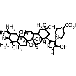 CC1(C)CC2C3=CCC4[C@@]5(C)Cc6c(n[nH]c6N)C(C)(C)C5CC[C@@]4(C)[C@]3(C)CC[C@@H]2[C@H](c2n[nH]c(O)c2N2CCN(C(=O)O)CC2)C1